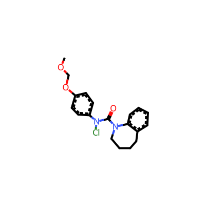 COCOc1ccc(N(Cl)C(=O)N2CCCCc3ccccc32)cc1